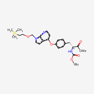 COC(=O)[C@@H](Cc1ccc(Oc2ccnc3c2ccn3COCCS(C)(C)C)cc1)NC(=O)OC(C)(C)C